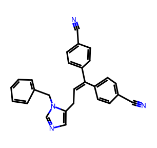 N#Cc1ccc(C(=CCc2cncn2Cc2ccccc2)c2ccc(C#N)cc2)cc1